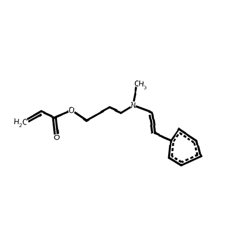 C=CC(=O)OCCCN(C)C=Cc1ccccc1